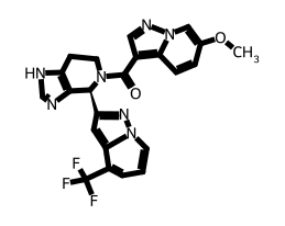 COc1ccc2c(C(=O)N3CCc4[nH]cnc4[C@@H]3c3cc4c(C(F)(F)F)cccn4n3)cnn2c1